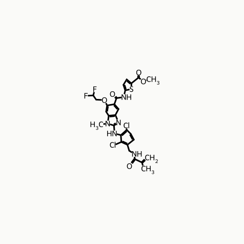 C=C(C)C(=O)NCc1ccc(Cl)c(Nc2nc3cc(C(=O)Nc4ccc(C(=O)OC)s4)c(OCC(F)F)cc3n2C)c1Cl